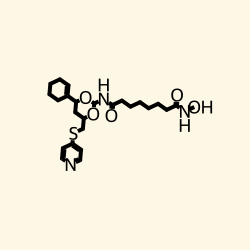 O=C(CCCCCCC(=O)NC1OC(CSc2ccncc2)CC(C2=CCCCC2)O1)NO